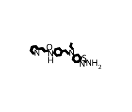 CCCN(CCC1CCC(NC(=O)/C=C/c2ccccn2)CC1)[C@H]1CCc2nc(N)sc2C1